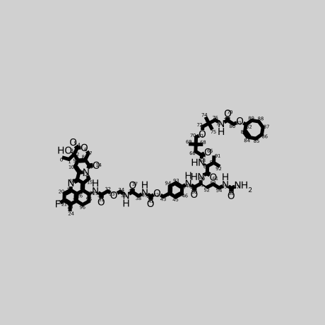 CC[C@@]1(O)C(=O)OCc2c1cc1n(c2=O)Cc2c-1nc1cc(F)c(C)c3c1c2[C@@H](NC(=O)COCNC(=O)CNC(=O)OCc1ccc(NC(=O)[C@H](CCCNC(N)=O)NC(=O)[C@@H](NC(=O)CC(C)(C)COCC(C)(C)CNC(=O)COC2C#CCCCCC2)C(C)C)cc1)CC3